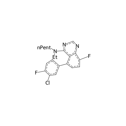 CCCCCN(CC)c1ncnc2c(F)ccc(-c3ccc(F)c(Cl)c3)c12